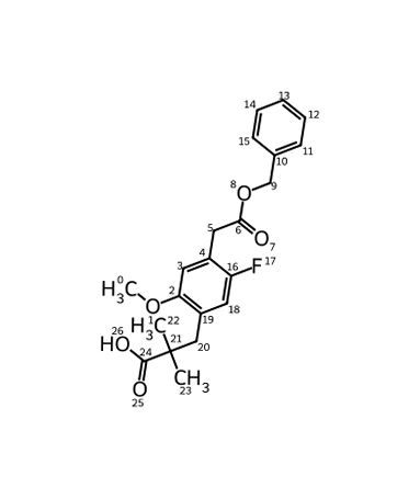 COc1cc(CC(=O)OCc2ccccc2)c(F)cc1CC(C)(C)C(=O)O